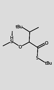 CC(C(O[SiH](C)C)C(=O)SC(C)(C)C)C(C)(C)C